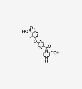 Cc1c(Oc2cnc(C(=O)N3CCNC[C@@H]3CO)cn2)ccc2c1B(O)OC2